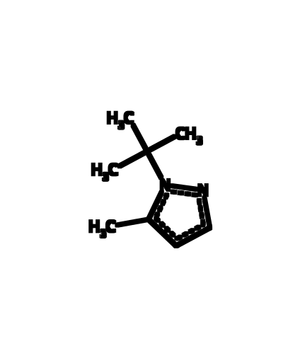 Cc1ccnn1C(C)(C)C